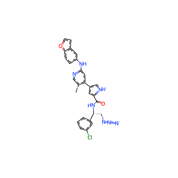 Cc1cnc(Nc2ccc3occc3c2)cc1-c1c[nH]c(C(=O)N[C@H](CN=[N+]=[N-])c2cccc(Cl)c2)c1